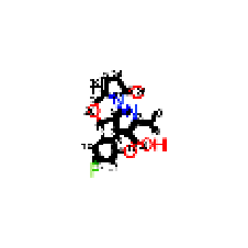 CC(C)c1nc2c(c(-c3ccc(F)cc3)c1C(=O)O)COC[C@H]1CCC(=O)N21